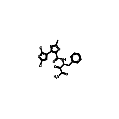 Cc1nc(-c2cc(Cl)oc2Cl)c(C(=O)NC(Cc2ccccc2)C(=O)C(N)=O)o1